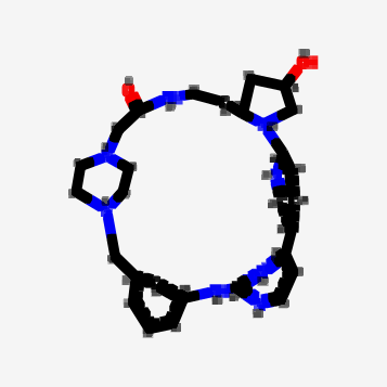 O=C1CN2CCN(CC2)Cc2cccc(c2)Nc2nccc(n2)-c2ccc(nc2)N2CC(O)CC2CCN1